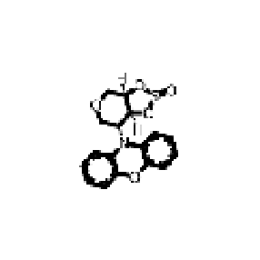 O=S1O[C@@H]2[C@H](COC[C@H]2N2c3ccccc3Oc3ccccc32)O1